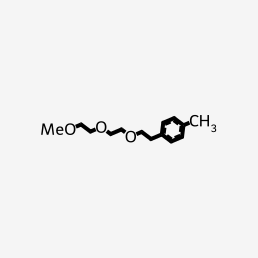 COCCOCCOCCc1ccc(C)cc1